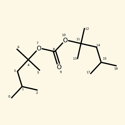 CC(C)CC(C)(C)OC(=O)OC(C)(C)CC(C)C